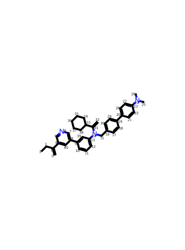 C=C(CC)c1cncc(-c2cccc(N(Cc3ccc(-c4ccc(N(C)C)cc4)cc3)C(=C)C3CCCCC3)c2)c1